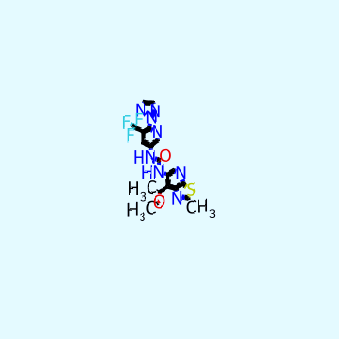 CO[C@H](C)c1c(NC(=O)Nc2cnc(-n3nccn3)c(C(F)(F)F)c2)cnc2sc(C)nc12